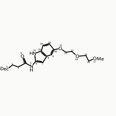 CCCCCCCCCCCCC(=O)Nc1cc2cc(OCCOCCOC)ccc2[nH]1